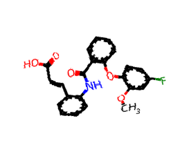 COc1cc(F)ccc1Oc1ccccc1C(=O)Nc1ccccc1C=CC(=O)O